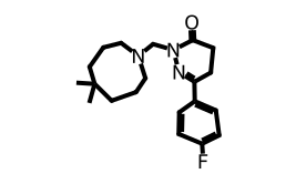 CC1(C)CCCN(CN2N=C(c3ccc(F)cc3)CCC2=O)CCC1